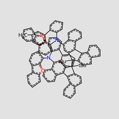 Cc1cccc(-c2ccccc2N(c2cc3c(c4ccccc24)-c2c(ccc4ccccc24)C3(C(C)(C)C)C2(C(C)(C)C)c3ccc4ccccc4c3-c3c2cc(N(c2ccccc2C2=CC=CCC2)c2cccc4c2oc2ccccc24)c2ccccc32)c2cccc3c2oc2ccccc23)c1